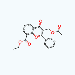 CCOC(=O)c1cccc2c(=O)c(COC(C)=O)c(-c3ccccc3)oc12